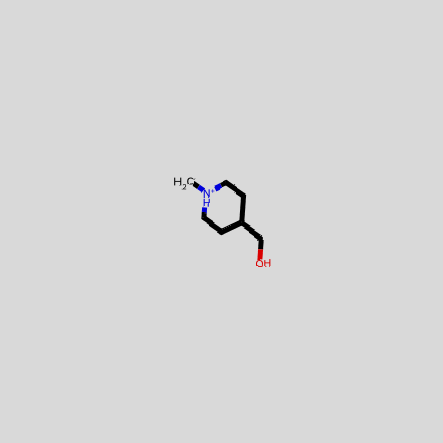 [CH2-][NH+]1CCC(CO)CC1